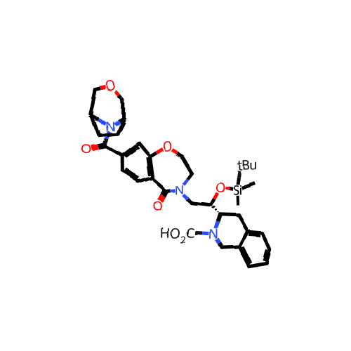 CC(C)(C)[Si](C)(C)OC(CN1CCOc2cc(C(=O)N3C4CCC3COC4)ccc2C1=O)[C@@H]1Cc2ccccc2CN1C(=O)O